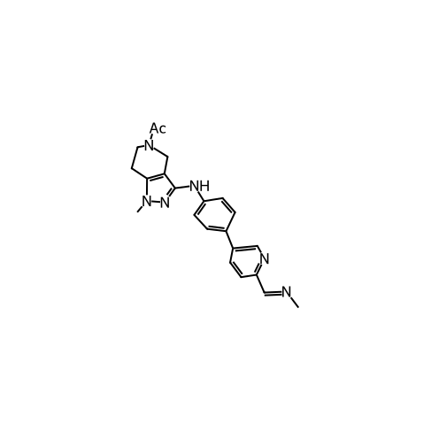 C/N=C/c1ccc(-c2ccc(Nc3nn(C)c4c3CN(C(C)=O)CC4)cc2)cn1